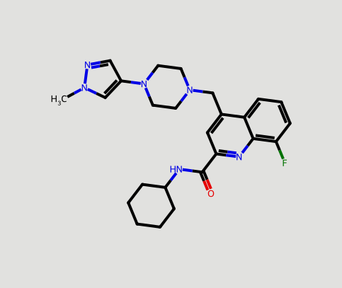 Cn1cc(N2CCN(Cc3cc(C(=O)NC4CCCCC4)nc4c(F)cccc34)CC2)cn1